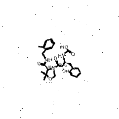 Cc1ccccc1CNC(=O)[C@H]1N(C(=O)[C@@H](O)[C@H](Cc2ccccc2)NC(=O)O)COC1(C)C